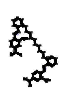 CCN(CC)c1ccc(/C=C/c2cccc[n+]2CCCCCCCCCC[n+]2ccccc2/C=C/c2ccc(N(CC)CC)cc2OC)c(OC)c1